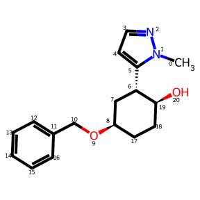 Cn1nccc1[C@H]1C[C@H](OCc2ccccc2)CC[C@@H]1O